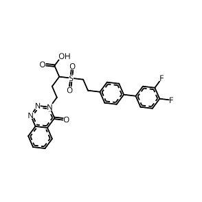 O=C(O)C(CCn1nnc2ccccc2c1=O)S(=O)(=O)CCc1ccc(-c2ccc(F)c(F)c2)cc1